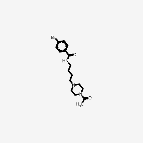 CC(=O)N1CCN(CCCCNC(=O)c2ccc(Br)cc2)CC1